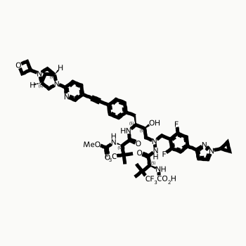 COC(=O)N[C@H](C(=O)N[C@@H](Cc1ccc(C#Cc2ccc(N3C[C@@H]4C[C@H]3CN4C3COC3)nc2)cc1)[C@@H](O)CN(Cc1c(F)cc(-c2ccn(C3CC3)n2)cc1F)NC(=O)[C@@H](NC(=O)O)C(C)(C)C(F)(F)F)C(C)(C)C(F)(F)F